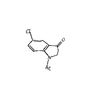 CC(=O)N1CC(=O)c2cc(Cl)ccc21